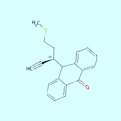 C#C[C@@H](CCSC)C1c2ccccc2C(=O)c2ccccc21